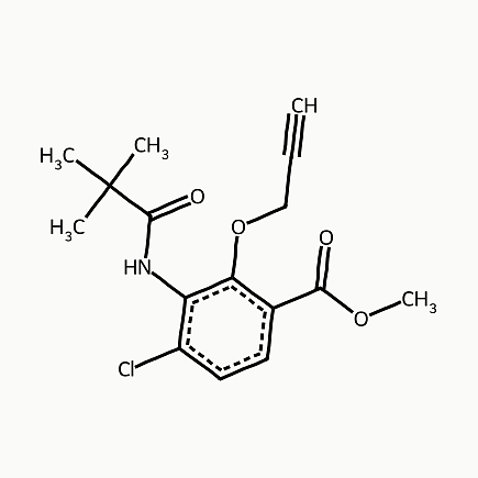 C#CCOc1c(C(=O)OC)ccc(Cl)c1NC(=O)C(C)(C)C